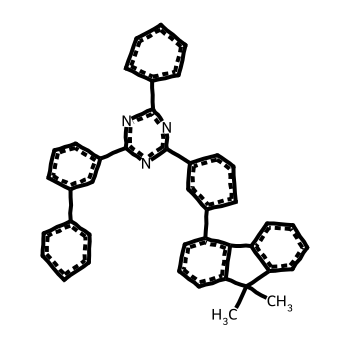 CC1(C)c2ccccc2-c2c(-c3cccc(-c4nc(-c5ccccc5)nc(-c5cccc(-c6ccccc6)c5)n4)c3)cccc21